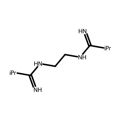 CC(C)C(=N)NCCNC(=N)C(C)C